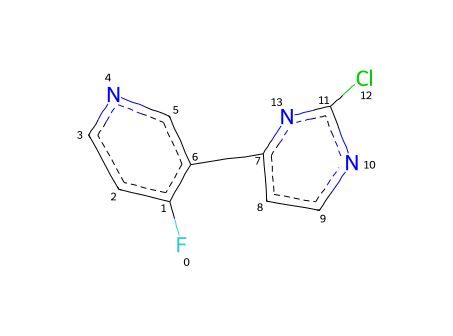 Fc1ccncc1-c1ccnc(Cl)n1